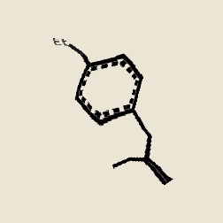 C=C(C)Cc1ccc(CC)cc1